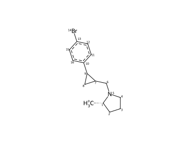 C[C@H]1CCCN1CC1CC1c1ccc(Br)cc1